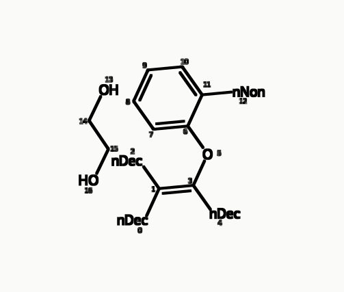 CCCCCCCCCCC(CCCCCCCCCC)=C(CCCCCCCCCC)Oc1ccccc1CCCCCCCCC.OCCO